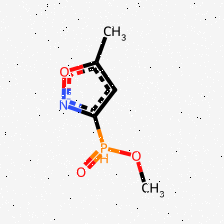 CO[PH](=O)c1cc(C)on1